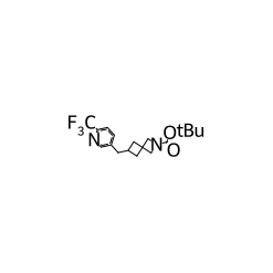 CC(C)(C)OC(=O)N1CC2(CC(Cc3ccc(C(F)(F)F)nc3)C2)C1